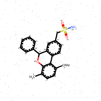 COc1ccc(C)c2c1-c1ccc(CS(N)(=O)=O)cc1C(c1ccccc1)O2